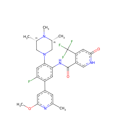 COc1cc(-c2cc(NC(=O)c3c[nH]c(=O)cc3C(F)(F)F)c(N3C[C@@H](C)N(C)[C@@H](C)C3)cc2F)cc(C)n1